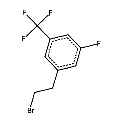 Fc1cc([CH]CBr)cc(C(F)(F)F)c1